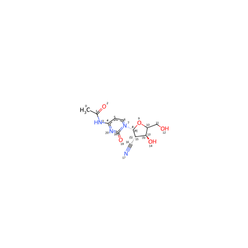 CC(=O)Nc1ccn([C@@H]2OC(CO)[C@@H](O)[C@@H]2C#N)c(=O)n1